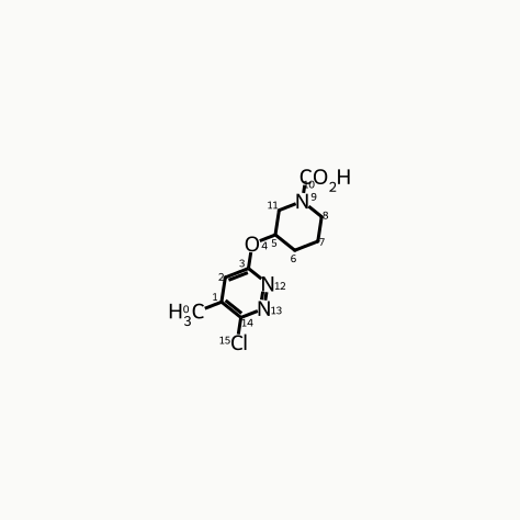 Cc1cc(OC2CCCN(C(=O)O)C2)nnc1Cl